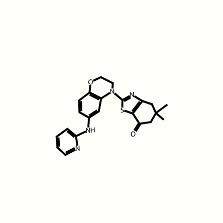 CC1(C)CC(=O)c2sc(N3CCOc4ccc(Nc5ccccn5)cc43)nc2C1